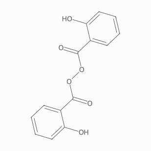 O=C(OOC(=O)c1ccccc1O)c1ccccc1O